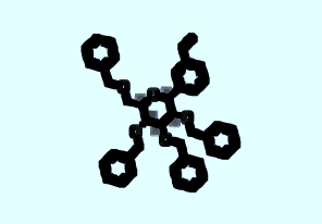 C=Cc1cccc([C@@H]2O[C@H](COCc3ccccc3)[C@@H](OCc3ccccc3)[C@H](OCc3ccccc3)[C@H]2OCc2ccccc2)c1